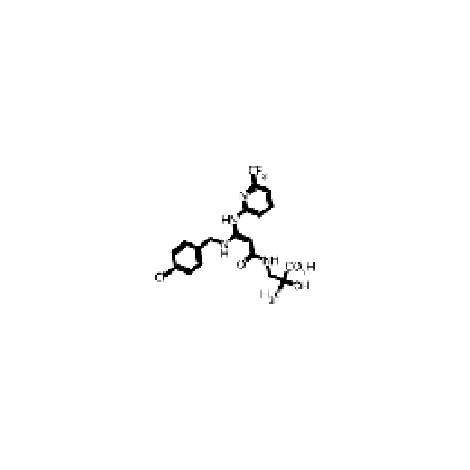 CC(O)(CNC(=O)/C=C(\NCc1ccc(Cl)cc1)Nc1cccc(C(F)(F)F)n1)C(=O)O